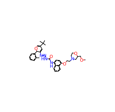 COCC1CN(CCOc2ccc(NC(=O)NN=NC3=CC(C(C)(C)C)=COC3c3ccccc3C)c3ccccc23)CCO1